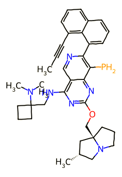 CC#Cc1cccc2cccc(-c3ncc4c(NCC5(N(C)C)CCC5)nc(OC[C@@]56CCCN5C[C@H](C)C6)nc4c3P)c12